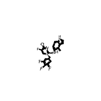 Cc1c(Nc2nc(=O)c(F)cn2Cc2cc(F)c(F)c(F)c2)ccc2[nH]ccc12